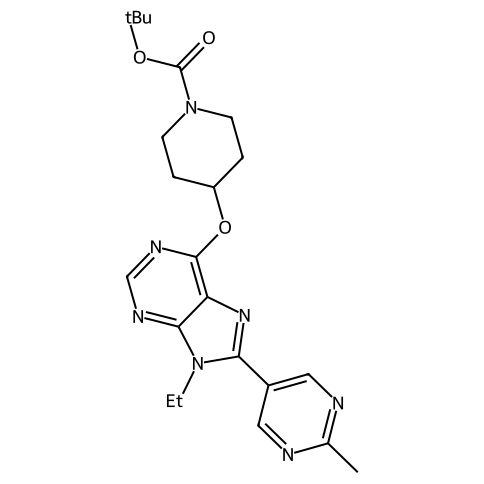 CCn1c(-c2cnc(C)nc2)nc2c(OC3CCN(C(=O)OC(C)(C)C)CC3)ncnc21